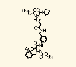 CC(=O)O[C@H](C(=O)Nc1cccc(CNC(=O)CCC[C@H](NC(=O)OC(C)(C)C)C(=O)N2CCSC2)c1)[C@@H](Cc1ccccc1)NC(=O)OC(C)(C)C